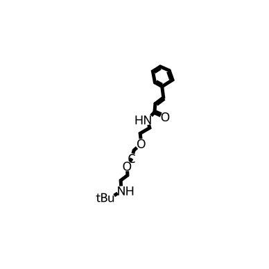 CC(C)(C)NCCOCCOCCNC(=O)/C=C/c1ccccc1